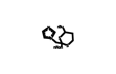 CCCCCCCCCC1(Cn2ccnc2)SCCC(CCCC)S1